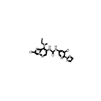 CCN(C)c1c(NC(=O)Nc2cnc(-n3nccn3)c(Cl)c2)cnn2cc(Cl)nc12